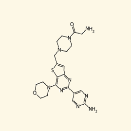 NCC(=O)N1CCN(Cc2cc3nc(-c4cnc(N)nc4)nc(N4CCOCC4)c3s2)CC1